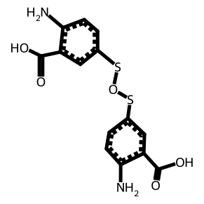 Nc1ccc(SOSc2ccc(N)c(C(=O)O)c2)cc1C(=O)O